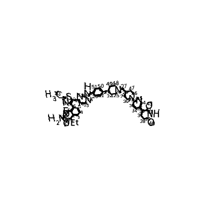 CCC(c1cccc(-c2nc(C)sc2-c2ccnc(Nc3ccc(C4CCN(CC5CCN(c6ccc(C7CCC(=O)NC7=O)cn6)CC5)CC4)cc3)n2)c1F)S(N)(=O)=O